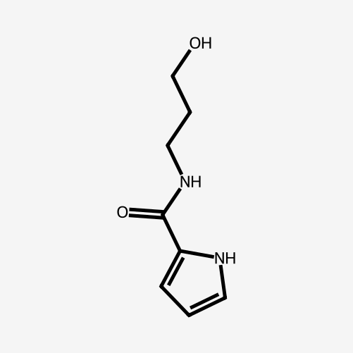 O=C(NCCCO)c1ccc[nH]1